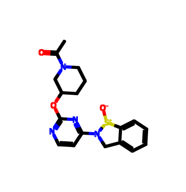 CC(=O)N1CCCC(Oc2nccc(N3Cc4ccccc4[S+]3[O-])n2)C1